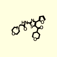 O=C(CN1CCOCC1)Nc1nc(-c2ccco2)c(C(=O)C2CCOCC2)s1